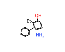 CCc1c(O)cccc1-c1ccccc1.N